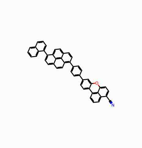 N#Cc1ccc2c3c(cccc13)-c1ccc(-c3ccc(-c4ccc5ccc6c(-c7cccc8ccccc78)ccc7ccc4c5c76)cc3)cc1O2